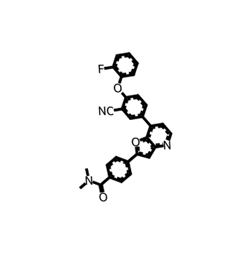 CN(C)C(=O)c1ccc(-c2cc3nccc(-c4ccc(Oc5ccccc5F)c(C#N)c4)c3o2)cc1